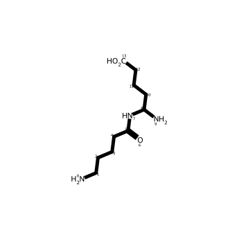 NCCCCC(=O)NC(N)CCCC(=O)O